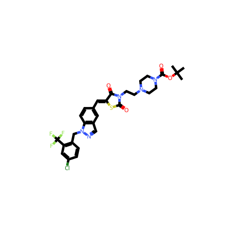 CC(C)(C)OC(=O)N1CCN(CCN2C(=O)SC(=Cc3ccc4c(cnn4Cc4ccc(Cl)cc4C(F)(F)F)c3)C2=O)CC1